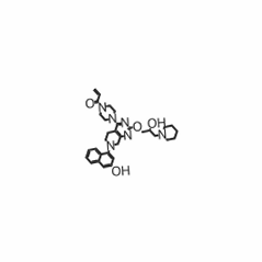 C=CC(=O)N1CCN(c2nc(OC[C@@H](O)CN3CCCCC3)nc3c2CCN(c2cc(O)cc4ccccc24)C3)CC1